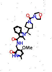 COc1cc(C)[nH]c(=O)c1CNC(=O)c1c(C)n([C@H](C)C2CCN(C(=O)N3CCOCC3)CC2)c2ccccc12